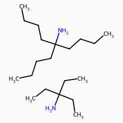 CCC(N)(CC)CC.CCCCC(N)(CCCC)CCCC